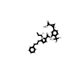 CC[C@H](C)n1c(CCCc2ccccc2)ccc1C(=O)Nc1cc(C2CC2C(=O)O)ccc1C(F)(F)F